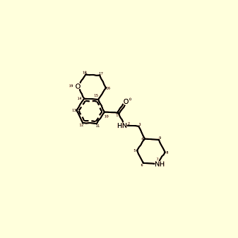 O=C(NCC1CCNCC1)c1cccc2c1CCCO2